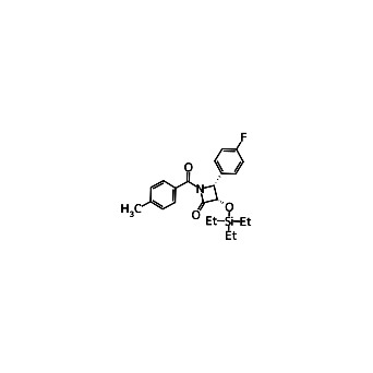 CC[Si](CC)(CC)O[C@@H]1C(=O)N(C(=O)c2ccc(C)cc2)[C@@H]1c1ccc(F)cc1